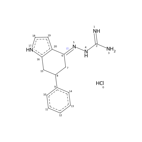 Cl.N=C(N)N/N=C1\CC(c2ccccc2)Cc2[nH]ccc21